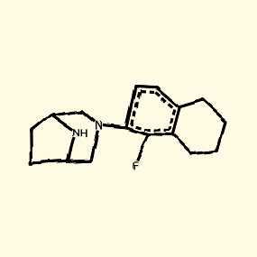 Fc1c(N2CC3CCC(C2)N3)ccc2c1CCCC2